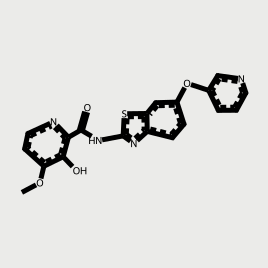 COc1ccnc(C(=O)Nc2nc3ccc(Oc4cccnc4)cc3s2)c1O